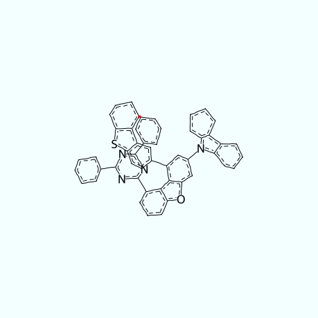 c1ccc(-c2nc(-c3ccccc3)nc(-c3cccc4oc5cc(-n6c7ccccc7c7ccccc76)cc(-c6ccc7sc8ccccc8c7c6)c5c34)n2)cc1